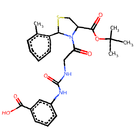 Cc1ccccc1C1SCC(C(=O)OC(C)(C)C)N1C(=O)CNC(=O)Nc1cccc(C(=O)O)c1